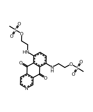 CS(=O)(=O)OCCNc1ccc(NCCOS(C)(=O)=O)c2c1C(=O)c1ccncc1C2=O